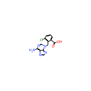 Nc1ncn(Cc2c(Cl)cccc2C(=O)O)c2ncnc1-2